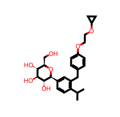 CC(C)c1ccc([C@@H]2O[C@H](CO)[C@@H](O)[C@H](O)[C@H]2O)cc1Cc1ccc(OCCOC2CC2)cc1